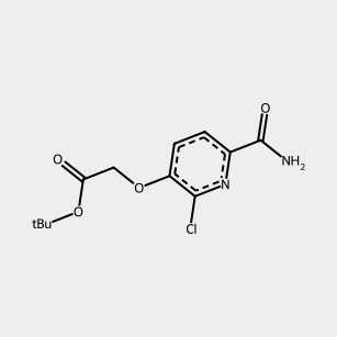 CC(C)(C)OC(=O)COc1ccc(C(N)=O)nc1Cl